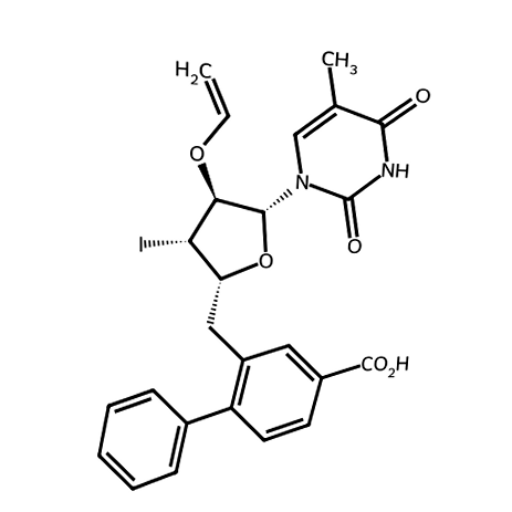 C=CO[C@@H]1[C@@H](I)[C@@H](Cc2cc(C(=O)O)ccc2-c2ccccc2)O[C@H]1n1cc(C)c(=O)[nH]c1=O